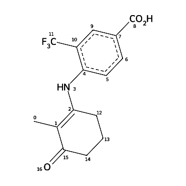 CC1=C(Nc2ccc(C(=O)O)cc2C(F)(F)F)CCCC1=O